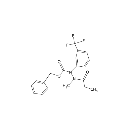 CCC(=O)N(C)N(C(=O)OCc1ccccc1)c1cccc(C(F)(F)F)c1